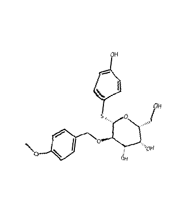 COc1ccc(CO[C@@H]2[C@@H](O)[C@@H](O)[C@@H](CO)O[C@H]2Sc2ccc(O)cc2)cc1